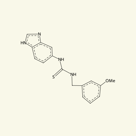 COc1cccc(CNC(=S)Nc2ccc3[nH]cnc3c2)c1